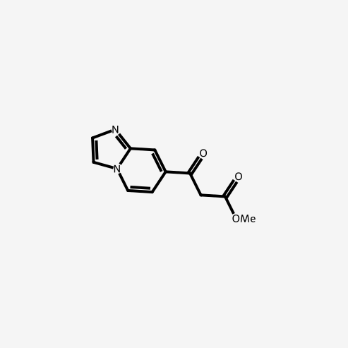 COC(=O)CC(=O)c1ccn2ccnc2c1